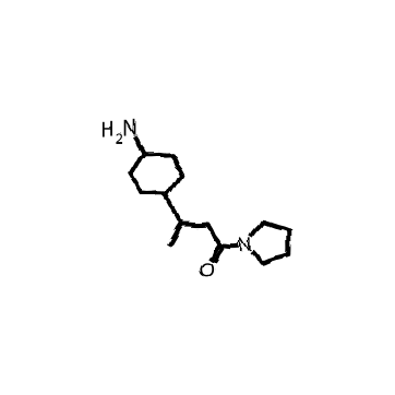 CC(CC(=O)N1CCCC1)C1CCC(N)CC1